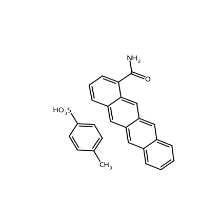 Cc1ccc(S(=O)(=O)O)cc1.NC(=O)c1cccc2cc3cc4ccccc4cc3cc12